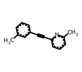 Cc1cccc(C#Cc2cccc(C)n2)c1